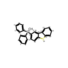 C[Si](c1ccccc1)(c1ccccc1)c1ccc2sc3ccccc3c2c1